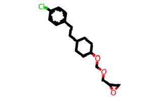 Clc1ccc(CCC2CCC(OCOCC3CO3)CC2)cc1